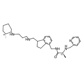 C[C@H](NCc1ccccn1)C(=O)NCc1cccc2c1CCC2CNCCCNC1CCCC[C@H]1C